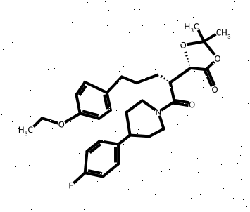 CCOc1ccc(CCC[C@@H](C(=O)N2CCC(c3ccc(F)cc3)CC2)[C@@H]2OC(C)(C)OC2=O)cc1